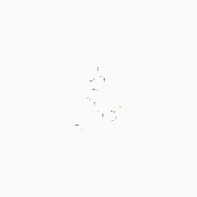 C=CCC(C(=O)Nc1ccc(Br)c(F)c1)c1cccc(F)c1F